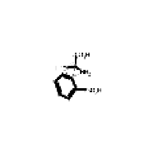 C[C@H](N)C(=O)O.O=S(=O)(O)c1ccccc1